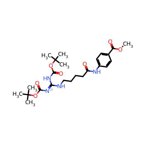 COC(=O)c1ccc(NC(=O)CCCCN/C(=N/C(=O)OC(C)(C)C)NC(=O)OC(C)(C)C)cc1